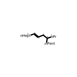 CCCCCCCC=CCC(CCC)CCCCC